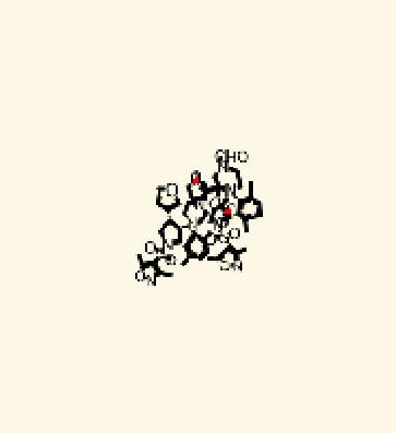 Cc1ccc(C)c([N+]2([C@H]3CN(S(=O)(=O)c4c(C)noc4C)C[C@@H]3C3CCOC3)CCN(C(=O)C3(OC(=O)C(F)(F)F)CN(C=O)CC[N@+]3(c3cc(C)ccc3C)[C@H]3CN(S(=O)(=O)c4c(C)noc4C)C[C@@H]3C3CCOC3)CC2)c1